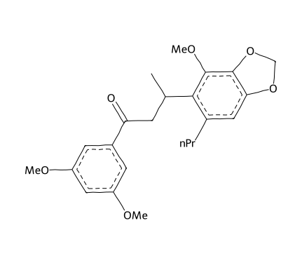 CCCc1cc2c(c(OC)c1C(C)CC(=O)c1cc(OC)cc(OC)c1)OCO2